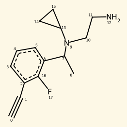 C#Cc1cccc(C(C)N(CCN)C2CC2)c1F